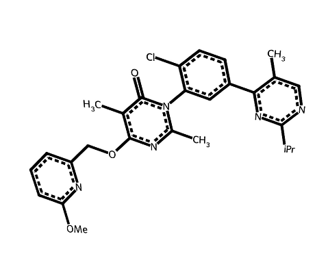 COc1cccc(COc2nc(C)n(-c3cc(-c4nc(C(C)C)ncc4C)ccc3Cl)c(=O)c2C)n1